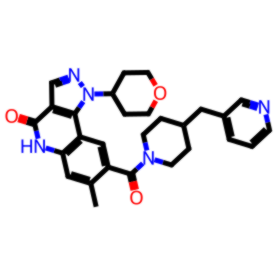 Cc1cc2[nH]c(=O)c3cnn(C4CCOCC4)c3c2cc1C(=O)N1CCC(Cc2cccnc2)CC1